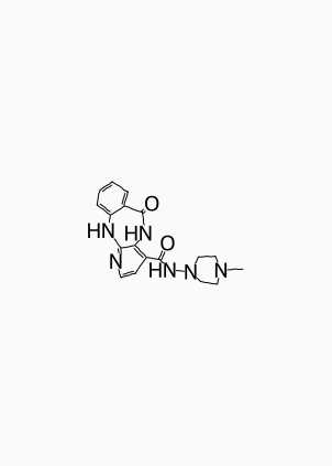 CN1CCN(NC(=O)c2ccnc3c2NC(=O)c2ccccc2N3)CC1